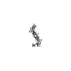 CCN(CCN(C)C)C(=O)CNc1nc2c(C)c3nc(NCC(=O)N4CCCC4)sc3cc2s1